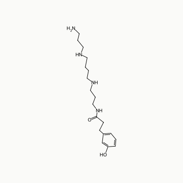 NCCCNCCCCNCCCNC(=O)CCc1cccc(O)c1